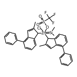 CC1=Cc2c(-c3ccccc3)cccc2[CH]1[Zr]([Cl])([O]S(=O)(=O)C(F)(F)F)([CH]1C(C)=Cc2c(-c3ccccc3)cccc21)=[Si](C)C